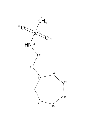 CS(=O)(=O)NCCC1CCCCCC1